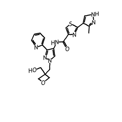 Cc1n[nH]cc1-c1nc(C(=O)Nc2cn(CC3(CO)COC3)nc2-c2ccccn2)cs1